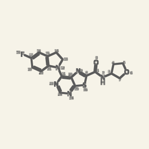 O=C(NC1CCOC1)c1nc2c(N3CCc4cc(F)ccc43)ncnc2s1